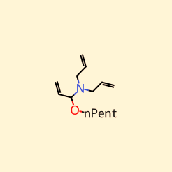 C=CCN(CC=C)C(C=C)OCCCCC